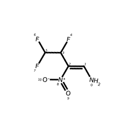 NC=C(C(F)C(F)F)[N+](=O)[O-]